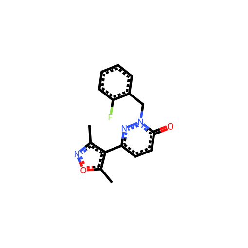 Cc1noc(C)c1-c1ccc(=O)n(Cc2ccccc2F)n1